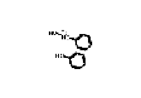 CO.Oc1ccccc1.Oc1ccccc1